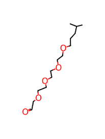 CC(C)CCCOCCOCCOCCOCC=O